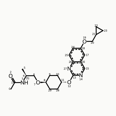 CC(=O)N[C@@H](C)CO[C@H]1CC[C@H](Oc2ncc3cc(OCC4CC4)ccc3n2)CC1